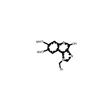 COc1cc2nc(O)c3ncn(CC(C)C)c3c2cc1OC